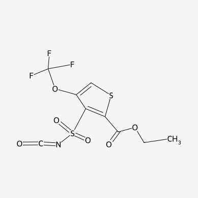 CCOC(=O)c1scc(OC(F)(F)F)c1S(=O)(=O)N=C=O